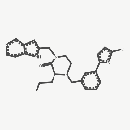 CCC[C@H]1C(=O)N(Cc2cc3cnccc3[nH]2)CCN1Cc1cccc(-c2ccc(Cl)s2)c1